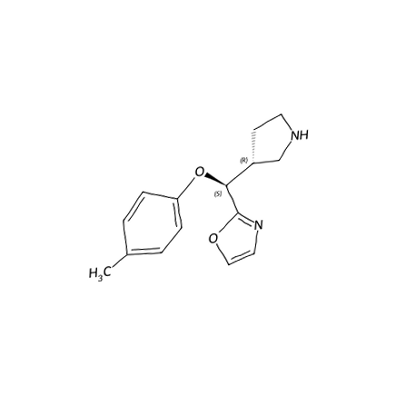 Cc1ccc(O[C@H](c2ncco2)[C@@H]2CCNC2)cc1